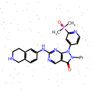 CC(C)n1c(=O)c2cnc(Nc3ccc4c(c3)CCNC4)nc2n1-c1ccnc(P(C)(C)=O)c1